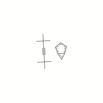 CC(C)(C)C#CC(C)(C)C.c1cc2cc-2c1